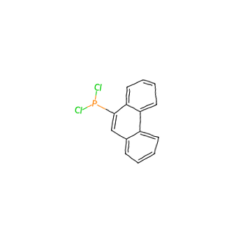 ClP(Cl)c1cc2ccccc2c2ccccc12